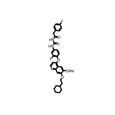 COc1cc2c(Oc3ccc(NC(=O)NC(=O)Cc4ccc(F)cc4)cc3F)ccnc2cc1OCCC1CCCCC1